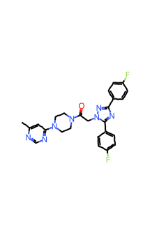 Cc1cc(N2CCN(C(=O)Cn3nc(-c4ccc(F)cc4)nc3-c3ccc(F)cc3)CC2)ncn1